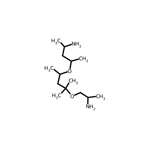 CC(N)COC(C)(C)CC(C)OC(C)CC(C)N